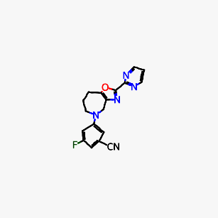 N#Cc1cc(F)cc(N2CCCc3oc(-c4ncccn4)nc3C2)c1